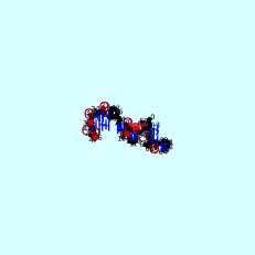 CC[C@H](C)[C@@H]([C@@H](CC(=O)N1CCCC1[C@H](OC)[C@@H](C)C(=O)N(C)CCc1cccc(NC(=O)[C@H](C)NC(=O)[C@H](C)NC(=O)OC(C)(C)C)c1)OC)N(C)C(=O)[C@@H](NC(=O)C1CCCN1C)C(C)C